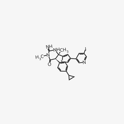 CN1C(=N)N[C@](C)(c2cc(-c3cncc(I)c3)cs2)[C@@H](c2ccc(C3CC3)cc2)C1=O